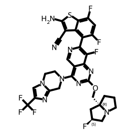 N#Cc1c(N)sc2c(F)cc(F)c(-c3ncc4c(N5CCn6cc(C(F)(F)F)nc6C5)nc(OC[C@]56CCCN5C[C@@H](F)C6)nc4c3F)c12